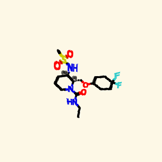 CCNC(=O)N1CCC[C@H](NS(C)(=O)=O)[C@@H]1COC1CCC(F)(F)CC1